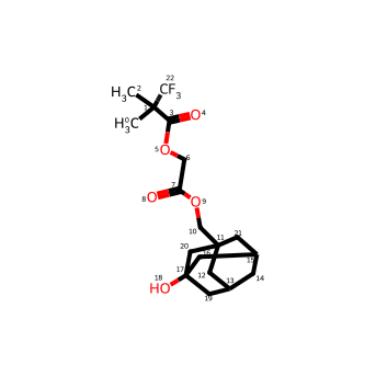 CC(C)(C(=O)OCC(=O)OCC12CC3CC(CC(O)(C3)C1)C2)C(F)(F)F